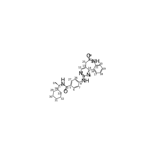 C[C@@H](NC(=O)c1ccc(Nc2ncc3c(n2)-c2ccccc2NC(=O)C3)cc1)C1CCCCC1